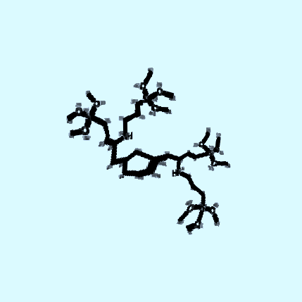 CO[Si](CCCNC(CC[Si](OC)(OC)OC)CC1CCCC(CC(CC[Si](OC)(OC)OC)NCCC[Si](OC)(OC)OC)C1)(OC)OC